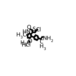 COc1cc(C)c2[nH]c(=O)c3sc(Cl)cc3c2c1-c1ccc([C@@H](C)CN)cc1.Cl